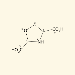 O=C(O)C1COC(C(=O)O)N1